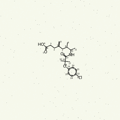 C=C(CCC(=O)O)CC(C)C(C)NC(=O)C(C)(C)Oc1ccc(Cl)cc1